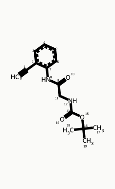 C#Cc1ccccc1NC(=O)CNC(=O)OC(C)(C)C